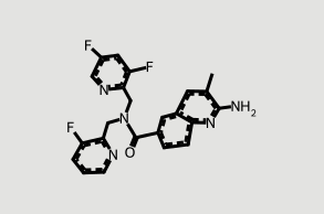 Cc1cc2cc(C(=O)N(Cc3ncccc3F)Cc3ncc(F)cc3F)ccc2nc1N